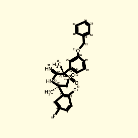 C[C@@]1(c2cc(F)ccc2F)CS(=O)(=O)[C@@](C)(c2cccc(OCc3ccccc3)c2)C(=N)N1